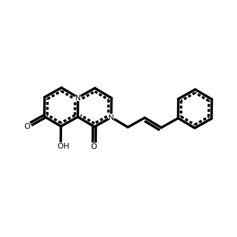 O=c1ccn2ccn(CC=Cc3ccccc3)c(=O)c2c1O